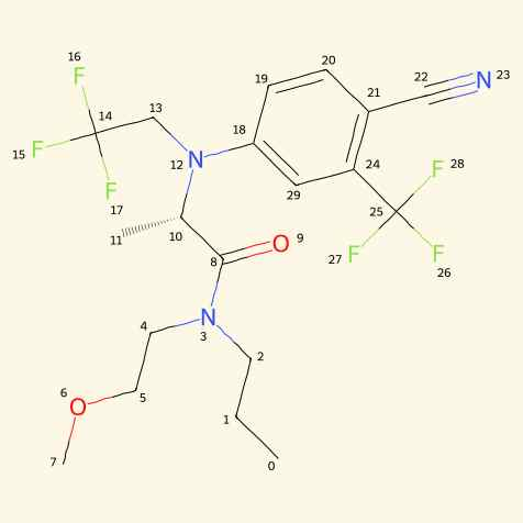 CCCN(CCOC)C(=O)[C@H](C)N(CC(F)(F)F)c1ccc(C#N)c(C(F)(F)F)c1